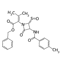 CC(C)=C(C(=O)OCc1ccccc1)N1C(=O)C(NC(=O)c2ccc(C)cc2)C1=S=O